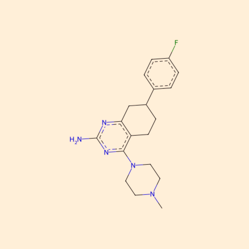 CN1CCN(c2nc(N)nc3c2CCC(c2ccc(F)cc2)C3)CC1